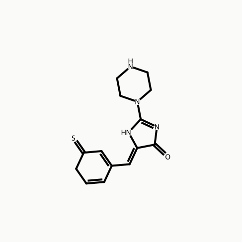 O=C1N=C(N2CCNCC2)NC1=CC1=CC(=S)CC=C1